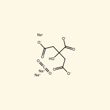 O=C([O-])CC(O)(CC(=O)[O-])C(=O)[O-].O=C=O.[Na+].[Na+].[Na+]